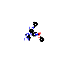 Cc1cccc(CNc2ccc3c(c2)C2(CCN(C(=O)OCc4ccccc4)CC2)CN3c2ncnc3[nH]ccc23)c1